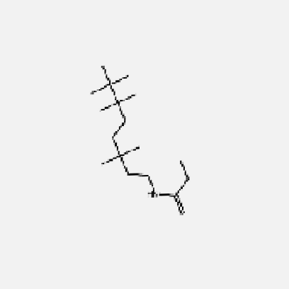 C=C(CC)NCCC(C)(C)CCC(C)(C)C(C)(C)C